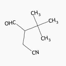 CC(C)(C)C(C=O)CC#N